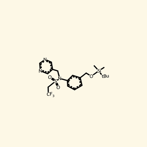 CC(C)(C)[Si](C)(C)OCc1cccc(N(Cc2cncnc2)S(=O)(=O)CC(F)(F)F)c1